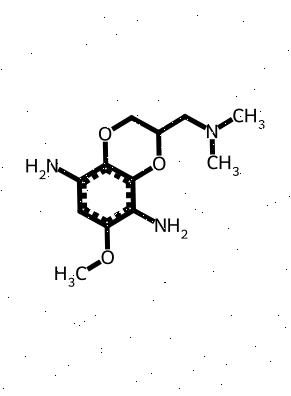 COc1cc(N)c2c(c1N)OC(CN(C)C)CO2